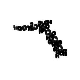 COc1c(NC(=O)c2ccc(NC(=O)c3ccc(NC(=O)C(NC(=O)c4ccc(NC(=O)/C(C)=C/c5ccc(O)cc5)cc4)[C@@H](C)O)cc3)c(OC)c2O)ccc(C(=O)O)c1O